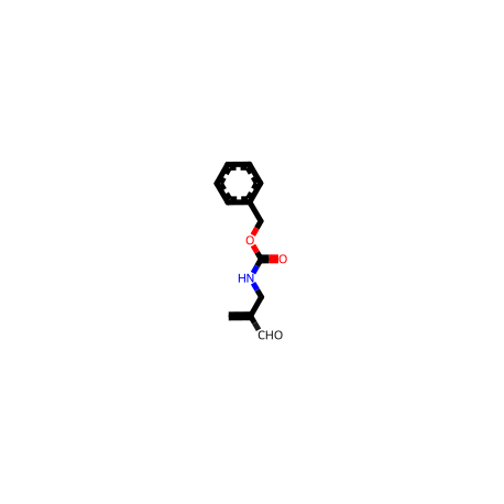 C=C(C=O)CNC(=O)OCc1ccccc1